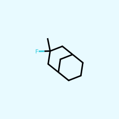 CC1(F)CC2CCCC(C2)C1